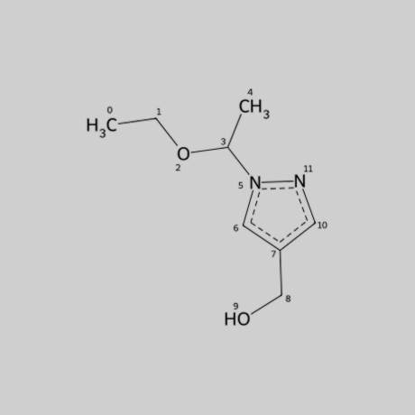 CCOC(C)n1cc(CO)cn1